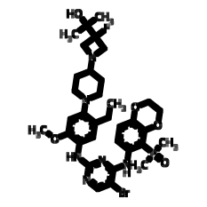 CCc1cc(Nc2ncc(Br)c(Nc3ccc4c(c3P(C)(C)=O)OCCO4)n2)c(OC)cc1N1CCC(N2CC(F)(C(C)(C)O)C2)CC1